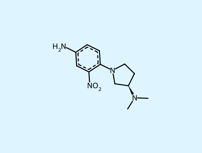 CN(C)[C@@H]1CCN(c2ccc(N)cc2[N+](=O)[O-])C1